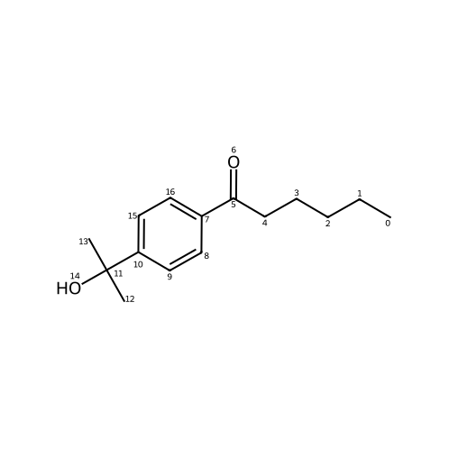 CCCCCC(=O)c1ccc(C(C)(C)O)cc1